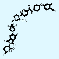 C[C@@H]1CN(C[C@@H]2[C@H]3CN(c4cc5c(cc4F)C(=O)N(C4CCC(=O)NC4=O)C5=O)C[C@@H]23)CCN1c1ccc(C(=O)N[C@H]2CC[C@H](Oc3ccc(C#N)c(Cl)c3)CC2)nn1